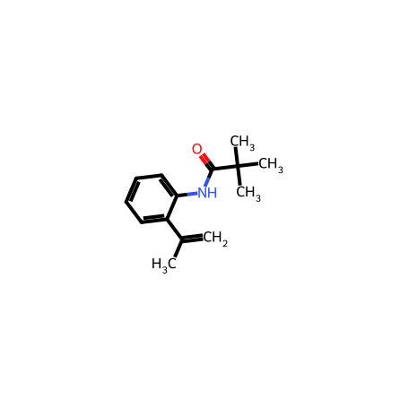 C=C(C)c1ccccc1NC(=O)C(C)(C)C